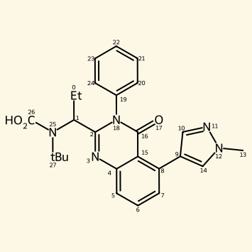 CCC(c1nc2cccc(-c3cnn(C)c3)c2c(=O)n1-c1ccccc1)N(C(=O)O)C(C)(C)C